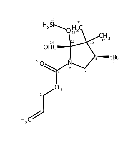 C=CCOC(=O)N1C[C@H](C(C)(C)C)C(C)(C)[C@@]1(C=O)O[SiH3]